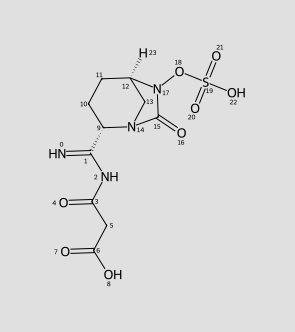 N=C(NC(=O)CC(=O)O)[C@@H]1CC[C@@H]2CN1C(=O)N2OS(=O)(=O)O